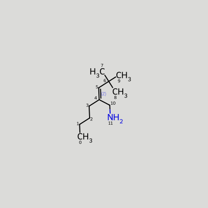 CCCC/C(=C/C(C)(C)C)CN